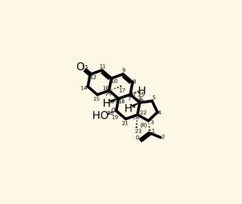 C=C(C)[C@H]1CC[C@H]2[C@@H]3C=CC4=CC(=O)CC[C@]4(C)[C@H]3[C@@H](O)C[C@]12C